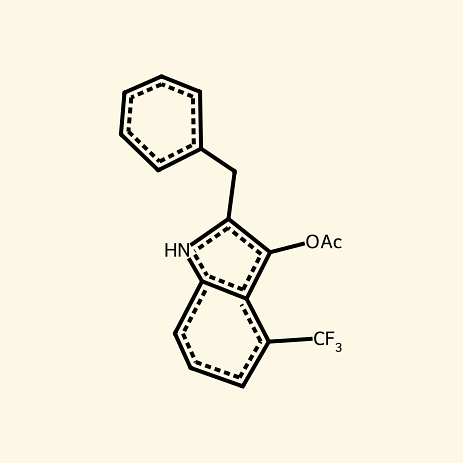 CC(=O)Oc1c(Cc2ccccc2)[nH]c2cccc(C(F)(F)F)c12